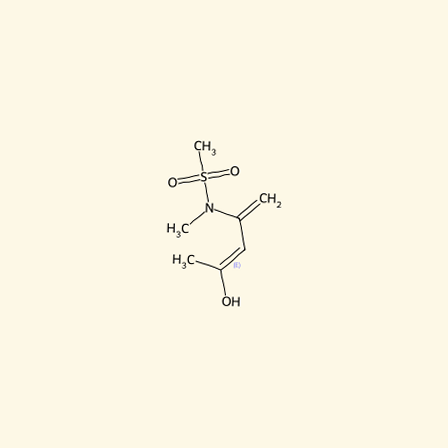 C=C(/C=C(\C)O)N(C)S(C)(=O)=O